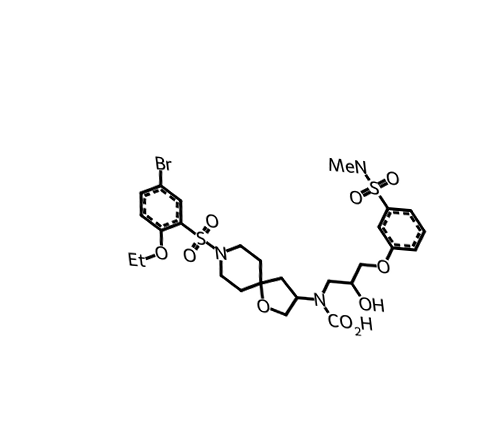 CCOc1ccc(Br)cc1S(=O)(=O)N1CCC2(CC1)CC(N(CC(O)COc1cccc(S(=O)(=O)NC)c1)C(=O)O)CO2